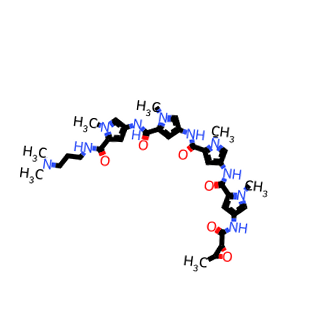 CC1OC1C(=O)Nc1cc(C(=O)Nc2cc(C(=O)Nc3cc(C(=O)Nc4cc(C(=O)NCCCN(C)C)n(C)c4)n(C)c3)n(C)c2)n(C)c1